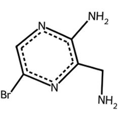 NCc1nc(Br)cnc1N